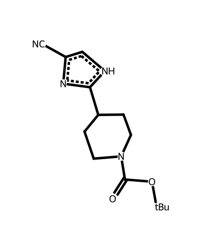 CC(C)(C)OC(=O)N1CCC(c2nc(C#N)c[nH]2)CC1